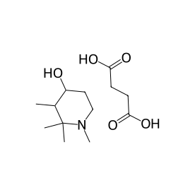 CC1C(O)CCN(C)C1(C)C.O=C(O)CCC(=O)O